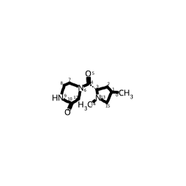 CC1C[C@@H](C(=O)N2CCNC(=O)C2)N(C)C1